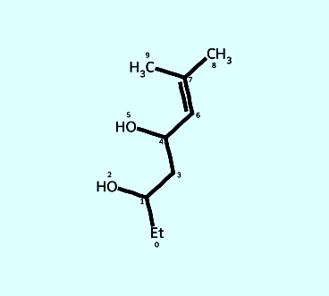 CCC(O)CC(O)C=C(C)C